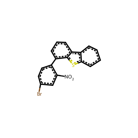 O=[N+]([O-])c1cc(Br)ccc1-c1cccc2c1sc1ccccc12